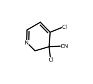 N#CC1(Cl)CN=CC=C1Cl